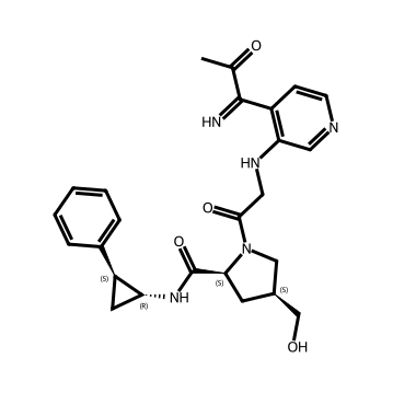 CC(=O)C(=N)c1ccncc1NCC(=O)N1C[C@@H](CO)C[C@H]1C(=O)N[C@@H]1C[C@H]1c1ccccc1